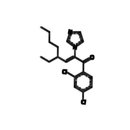 CCCCC(C=C(C(=O)c1ccc(Cl)cc1Cl)n1ccnc1)CC